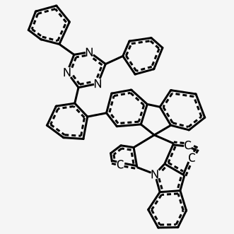 c1ccc(-c2nc(-c3ccccc3)nc(-c3ccccc3-c3ccc4c(c3)C3(c5ccccc5-4)c4ccccc4-n4c5ccccc5c5cccc3c54)n2)cc1